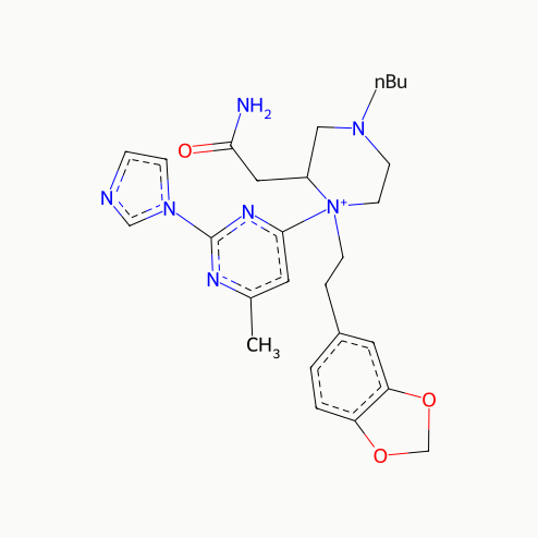 CCCCN1CC[N+](CCc2ccc3c(c2)OCO3)(c2cc(C)nc(-n3ccnc3)n2)C(CC(N)=O)C1